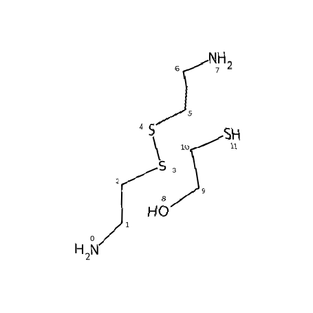 NCCSSCCN.OCCS